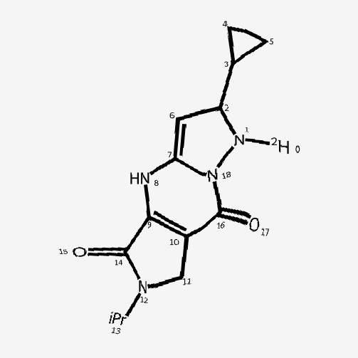 [2H]N1C(C2CC2)C=C2NC3=C(CN(C(C)C)C3=O)C(=O)N21